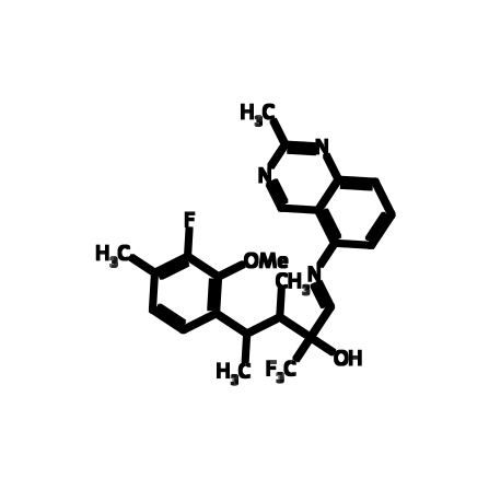 COc1c(C(C)C(C)C(O)(C=Nc2cccc3nc(C)ncc23)C(F)(F)F)ccc(C)c1F